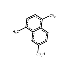 Cc1ccc(C)c2nc(C(=O)O)ccc12